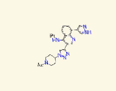 CC(=O)N1CCC(n2cc(-c3cnc4c(-c5cn[nH]c5)cccc4c3NC(C)C)nn2)CC1